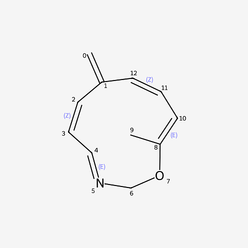 C=C1/C=C\C=N\CO/C(C)=C/C=C\1